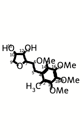 COc1c(C)c(CCC2OCC(O)C2O)c(OC)c(OC)c1OC